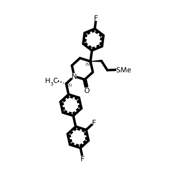 CSCC[C@]1(c2ccc(F)cc2)CCN([C@@H](C)c2ccc(-c3ccc(F)cc3F)cc2)C(=O)C1